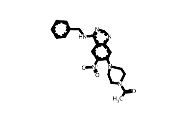 CC(=O)N1CCN(c2cc3ncnc(NCc4ccccc4)c3cc2[N+](=O)[O-])CC1